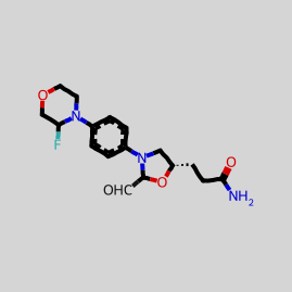 NC(=O)CC[C@H]1CN(c2ccc(N3CCOCC3F)cc2)C(C=O)O1